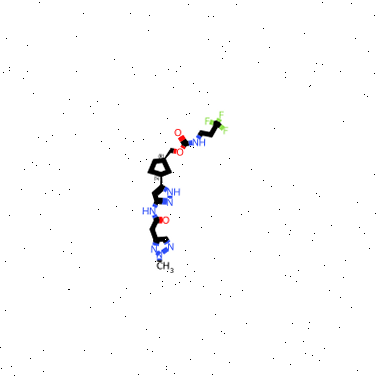 Cn1ncc(CC(=O)Nc2cc([C@H]3CC[C@@H](COC(=O)NCCC(F)(F)F)C3)[nH]n2)n1